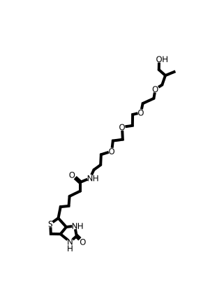 CC(CO)COCCOCCOCCOCCCNC(=O)CCCCC1SCC2NC(=O)NC21